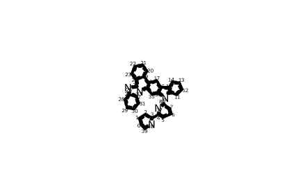 c1ccc(-c2cccc(-n3c4ccccc4c4cc5c6ccccc6c6nc7ccccc7n6c5cc43)n2)nc1